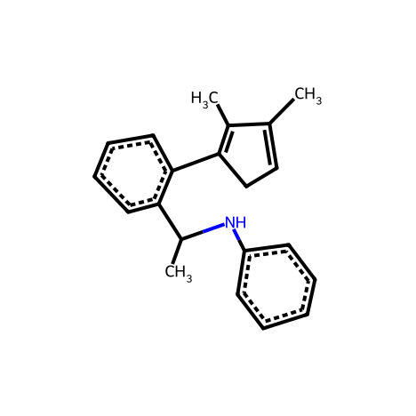 CC1=CCC(c2ccccc2C(C)Nc2ccccc2)=C1C